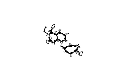 CCn1c(=O)nc2n(Cc3ccc(Cl)nc3)cccc-2c1=O